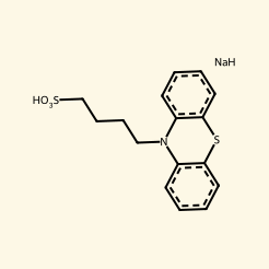 O=S(=O)(O)CCCCN1c2ccccc2Sc2ccccc21.[NaH]